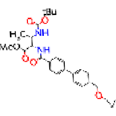 COC(=O)[C@@H](NC(=O)c1ccc(-c2ccc(COC3CC3)cc2)cc1)[C@@H](C)NC(=O)OC(C)(C)C